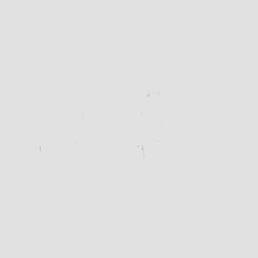 CCCCOC(=O)C(CCOP(C)(C)=O)NC(=O)Cc1ccccc1